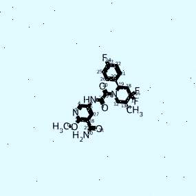 COc1ncc(NC(=O)C(=O)N2C[C@@H](C)C(F)(F)C[C@@H]2c2ccc(F)cc2)cc1C(N)=O